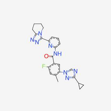 Cc1cc(F)c(C(=O)Nc2cccc(-c3nnc4n3CCCC4)n2)cc1-n1cnc(C2CC2)n1